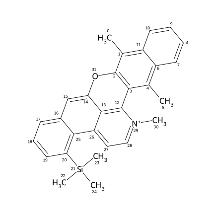 Cc1c2c(c(C)c3ccccc13)-c1c3c(cc4cccc([Si](C)(C)C)c4c3cc[n+]1C)O2